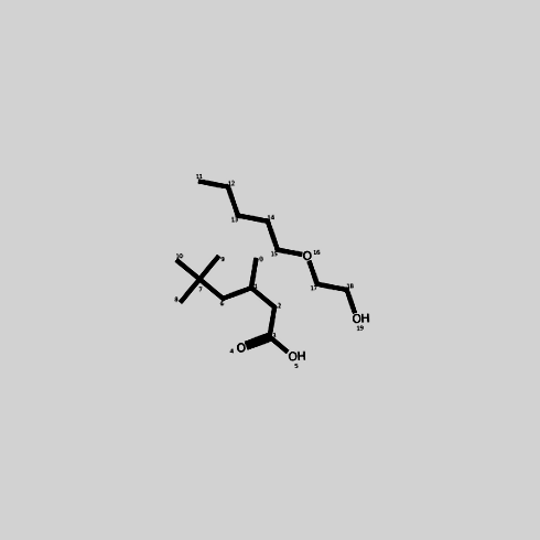 CC(CC(=O)O)CC(C)(C)C.CCCCCOCCO